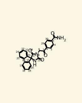 NC(=O)c1ccc(C(=O)CN2C(=O)NC(c3ccccc3)(c3ccccc3)C2=O)cc1